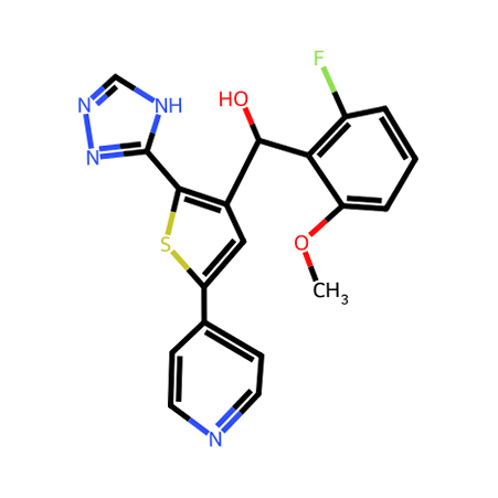 COc1cccc(F)c1C(O)c1cc(-c2ccncc2)sc1-c1nnc[nH]1